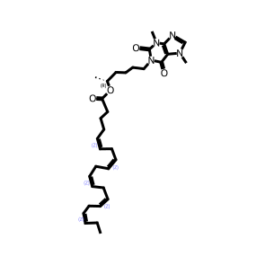 CC/C=C\C/C=C\C/C=C\C/C=C\C/C=C\CCCC(=O)O[C@H](C)CCCCn1c(=O)c2c(ncn2C)n(C)c1=O